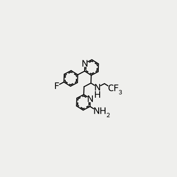 Nc1cccc(CC(NCC(F)(F)F)c2cccnc2-c2ccc(F)cc2)n1